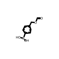 O=COCc1ccc(B(O)O)cc1